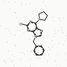 Clc1nc(N2CCCC2)c2ncn(Cc3ccccc3)c2n1